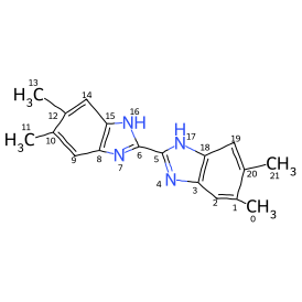 Cc1cc2nc(-c3nc4cc(C)c(C)cc4[nH]3)[nH]c2cc1C